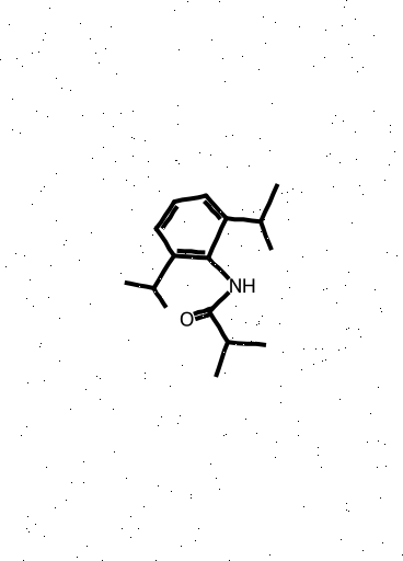 CC(C)C(=O)Nc1c(C(C)C)cccc1C(C)C